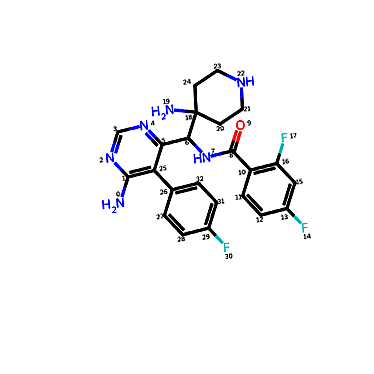 Nc1ncnc(C(NC(=O)c2ccc(F)cc2F)C2(N)CCNCC2)c1-c1ccc(F)cc1